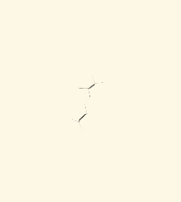 CC/C(C(=O)O)=C(/C)CCC=C(C)C